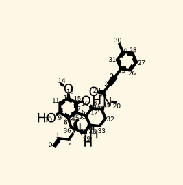 C=CCN1CC[C@]23c4c5c(O)cc(OC)c4O[C@H]2[C@@H](N(C)C(=O)C#Cc2cccc(C)c2)CC[C@H]3[C@H]1C5